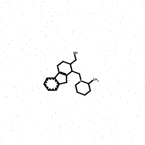 CC1CCCCN1CC1C2=C(CCC1CO)c1ccccc1C2